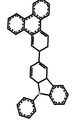 C1=CC2C(C=C1C1C=c3c(c4ccccc4c4ccccc34)=CC1)c1ccccc1N2c1ccccc1